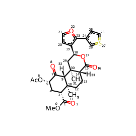 COC(=O)[C@@H]1C[C@H](OC(C)=O)C(=O)[C@H]2[C@@]1(C)CC[C@H]1C(=O)O[C@H](c3ccoc3-c3ccsc3)C[C@]21C